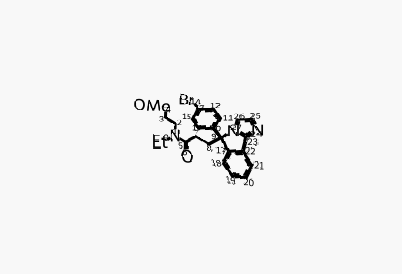 CCN(CCOC)C(=O)CCC1(c2ccc(Br)cc2)c2ccccc2-c2nccn21